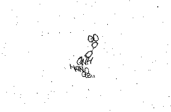 CC(C)(C)OC(=O)N[C@@](C)(CO)C(=O)Nc1ccc(-c2ccc3c(c2)OCO3)cc1